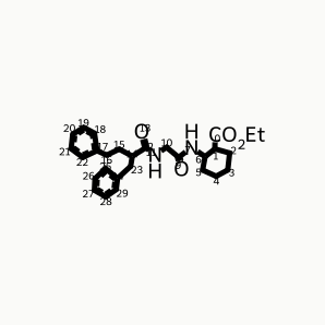 CCOC(=O)C1CCCCC1NC(=O)CNC(=O)C(CCc1ccccc1)Cc1ccccc1